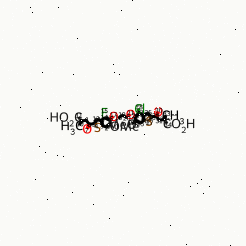 COc1cc2sc(C(=O)CC(C)C(=O)O)cc2c(F)c1OCCCOc1c(OC)cc2sc(C(=O)CC(C)C(=O)O)cc2c1Cl